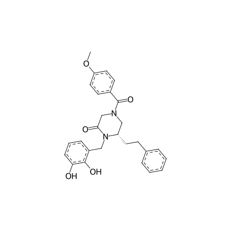 COc1ccc(C(=O)N2CC(=O)N(Cc3cccc(O)c3O)[C@@H](CCc3ccccc3)C2)cc1